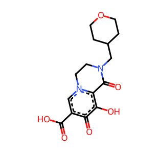 O=C(O)c1cn2c(c(O)c1=O)C(=O)N(CC1CCOCC1)CC2